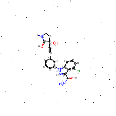 CN1CC[C@@](O)(C#Cc2cccc(-n3nc(C(N)=O)c4c(Cl)cccc43)c2)C1=O